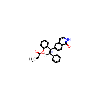 C=CC(=O)Oc1ccccc1/C(=C(\CC)c1ccccc1)c1ccc2c(=O)[nH]ccc2c1